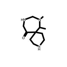 CC1N(C)CNCC(=O)C12CCNCC2